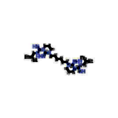 CCC(CC)CNC(=N)N1CCCN(CCCCCCN2CCCN(C(=N)NCC(CC)CC)C2=N)C1=N